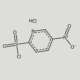 Cl.O=[N+]([O-])c1ccc(S(=O)(=O)Cl)nc1